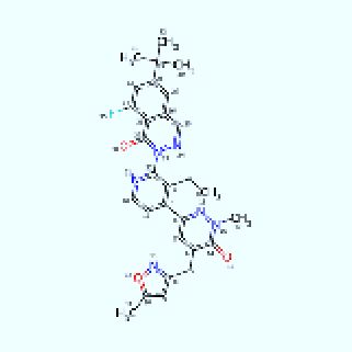 CCc1c(-c2cc(Cc3cc(C)on3)c(=O)n(C)n2)ccnc1-n1ncc2cc(C(C)(C)C)cc(F)c2c1=O